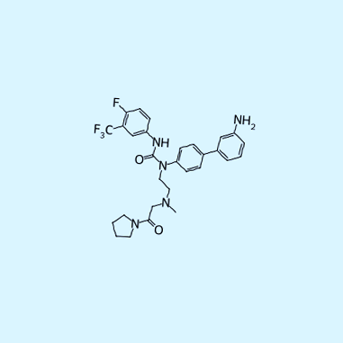 CN(CCN(C(=O)Nc1ccc(F)c(C(F)(F)F)c1)c1ccc(-c2cccc(N)c2)cc1)CC(=O)N1CCCC1